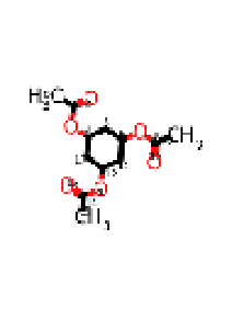 CC(=O)OC1CC(OC(C)=O)CC(OC(C)=O)C1